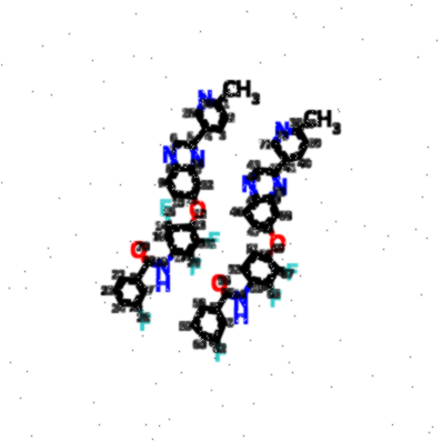 Cc1ccc(-c2cnc3ccc(Oc4c(F)cc(NC(=O)c5cccc(F)c5)c(F)c4F)cc3n2)cn1.Cc1ccc(-c2cnc3ccc(Oc4ccc(NC(=O)c5cccc(F)c5)c(F)c4F)cc3n2)cn1